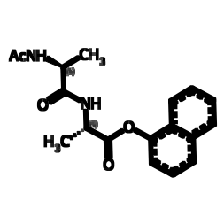 CC(=O)N[C@@H](C)C(=O)N[C@@H](C)C(=O)Oc1cccc2ccccc12